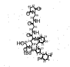 CC(C)(C)[C@H](c1cc(-c2cc(F)ccc2F)cn1Cc1ccccc1)N(CC[C@H](N)C(=O)NCCC(=O)NCCN1C(=O)[CH]CC1=O)C(=O)CO